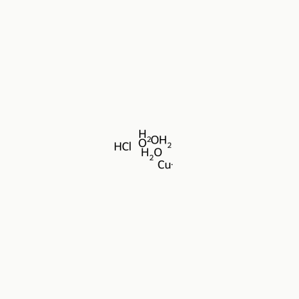 Cl.O.O.O.[Cu]